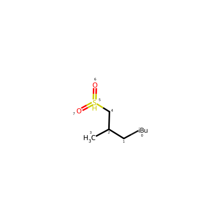 CCC(C)CC(C)C[SH](=O)=O